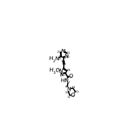 Cn1nc(C(=O)NCCN2CCOCC2)cc1C#Cc1ncncc1N